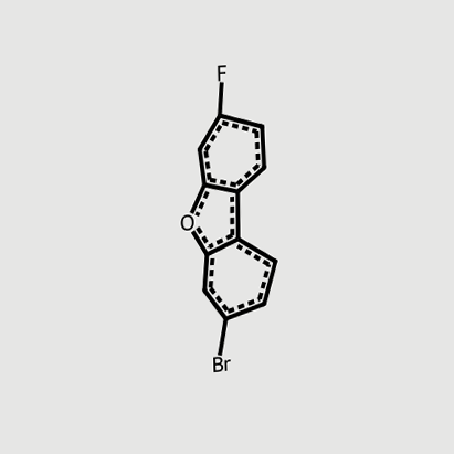 Fc1ccc2c(c1)oc1cc(Br)ccc12